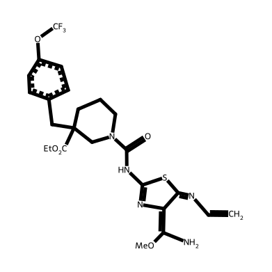 C=C/N=C1/SC(NC(=O)N2CCCC(Cc3ccc(OC(F)(F)F)cc3)(C(=O)OCC)C2)=N/C1=C(/N)OC